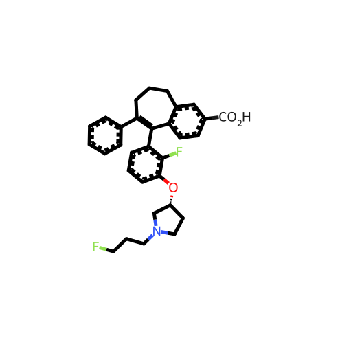 O=C(O)c1ccc2c(c1)CCCC(c1ccccc1)=C2c1cccc(O[C@@H]2CCN(CCCF)C2)c1F